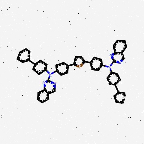 c1ccc(-c2ccc(N(c3ccc(-c4ccc(-c5ccc(N(c6ccc(-c7ccccc7)cc6)c6ncc7ccccc7n6)cc5)s4)cc3)c3ncc4ccccc4n3)cc2)cc1